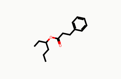 CCCC(CC)OC(=O)CCc1ccccc1